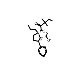 CCC[N+]1(C(=O)C(=O)C(C)(C)CC)CCC(c2ccccc2)[C@H]1C([O-])=S